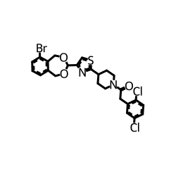 O=C(Cc1cc(Cl)ccc1Cl)N1CCC(c2nc(C3OCc4cccc(Br)c4CO3)cs2)CC1